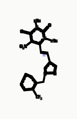 CCCCn1c(/C=C/c2cnn(Cc3ccccc3C(F)(F)F)c2)c([N+](=O)[O-])c(=O)n(CCCC)c1=O